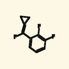 FC(=C1CC1)c1cccc(F)c1F